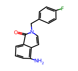 Nc1cccc2c(=O)n(Cc3ccc(F)cc3)ccc12